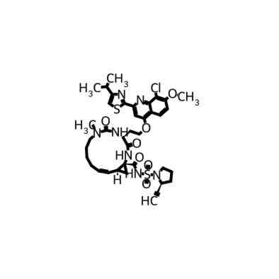 C#C[C@@H]1CCCN1S(=O)(=O)NC(=O)[C@@]12C[C@H]1C=CCCCCN(C)C(=O)N[C@@H](CCOc1cc(-c3nc(C(C)C)cs3)nc3c(Cl)c(OC)ccc13)C(=O)N2